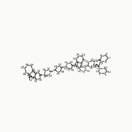 c1ccc(-n2c3ccccc3c3ccc(-c4cccc5c4c4ccccc4n5-c4ccc(-c5ccc(-c6ccc(-c7ccc8oc9ccccc9c8c7)cc6)cc5)cc4)cc32)cc1